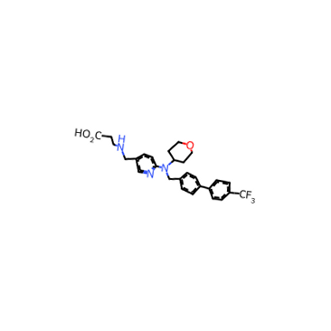 O=C(O)CCNCc1ccc(N(Cc2ccc(-c3ccc(C(F)(F)F)cc3)cc2)C2CCOCC2)nc1